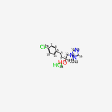 CC(C)(C)C(O)(CCc1ccc(Cl)cc1)Cn1cncn1.Cl